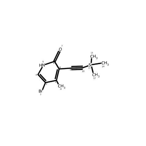 Cc1c(Br)c[nH]c(=O)c1C#C[Si](C)(C)C